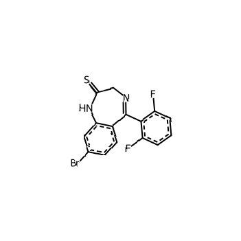 Fc1cccc(F)c1C1=NCC(=S)Nc2cc(Br)ccc21